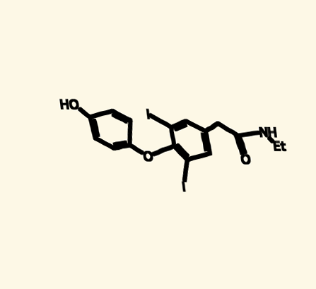 CCNC(=O)Cc1cc(I)c(Oc2ccc(O)cc2)c(I)c1